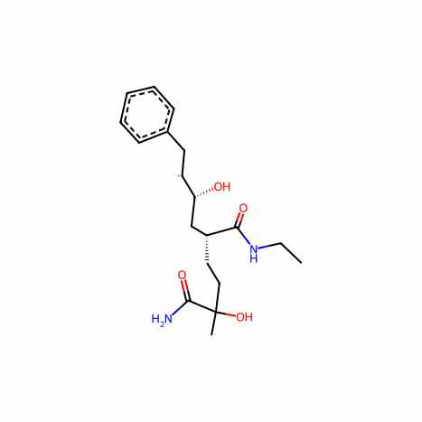 CCNC(=O)[C@H](CCC(C)(O)C(N)=O)C[C@@H](O)[CH]Cc1ccccc1